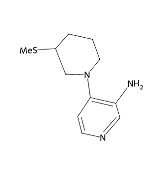 CSC1CCCN(c2ccncc2N)C1